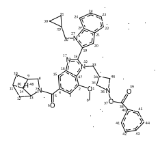 COc1cc(C(=O)N2CC3CC4CC2[C@H]43)cc2nc(-c3cc4ccccc4n3CC3CC3)n(CC3CN(OC(=O)c4ccccc4)C3)c12